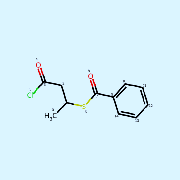 CC(CC(=O)Cl)SC(=O)c1ccccc1